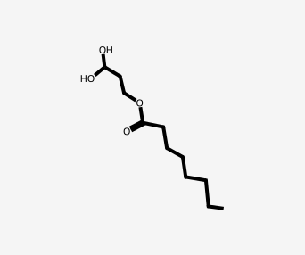 CCCCCCCC(=O)OCCC(O)O